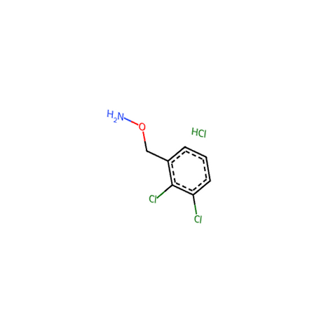 Cl.NOCc1cccc(Cl)c1Cl